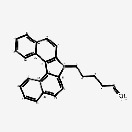 C=CCCCCn1c2ccc3ccccc3c2c2c3ccccc3ccc21